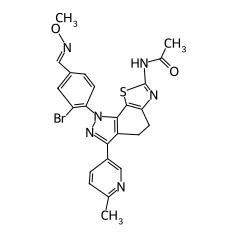 CON=Cc1ccc(-n2nc(-c3ccc(C)nc3)c3c2-c2sc(NC(C)=O)nc2CC3)c(Br)c1